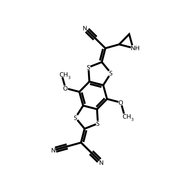 COc1c2c(c(OC)c3c1SC(=C(C#N)C1CN1)S3)SC(=C(C#N)C#N)S2